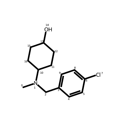 CN(Cc1ccc(Cl)cc1)C1CCC(O)CC1